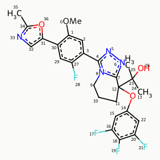 COc1cc(-c2nnc3n2CCCC3(Oc2cc(F)c(F)c(F)c2)C(C)(C)O)c(F)cc1-c1cnc(C)o1